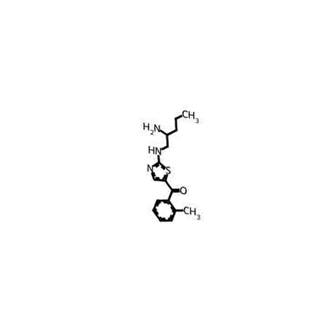 CCCC(N)CNc1ncc(C(=O)c2ccccc2C)s1